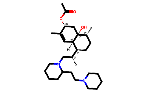 CC(=O)O[C@@H]1[C][C@@]2(O)[C@H](C)CC[C@@H]([C@H](C)CN3CCCCC3CCN3CCCCC3)[C@H]2C=C1C